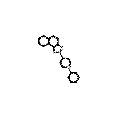 c1ccc(-[n+]2ccc(-c3nc4c(ccc5ccccc54)s3)cc2)cc1